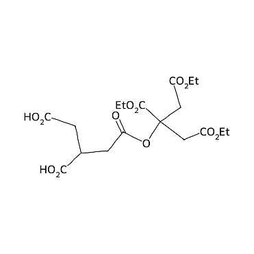 CCOC(=O)CC(CC(=O)OCC)(OC(=O)CC(CC(=O)O)C(=O)O)C(=O)OCC